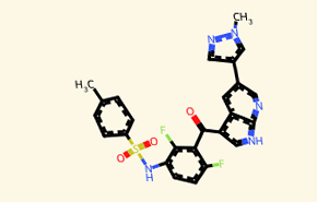 Cc1ccc(S(=O)(=O)Nc2ccc(F)c(C(=O)c3c[nH]c4ncc(-c5cnn(C)c5)cc34)c2F)cc1